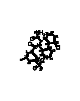 Cc1cc(C(=O)N(CC(N)=O)c2cnccc2-c2ccccc2Cl)cc(S(C)(=O)=O)c1